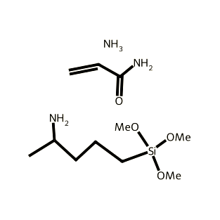 C=CC(N)=O.CO[Si](CCCC(C)N)(OC)OC.N